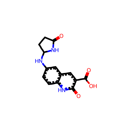 O=C1CCC(Nc2ccc3[nH]c(=O)c(C(=O)O)cc3c2)N1